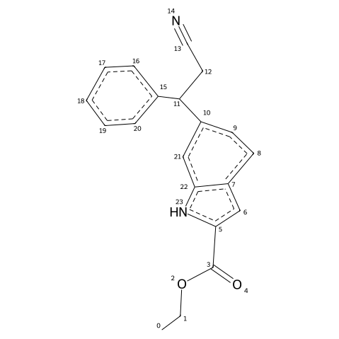 CCOC(=O)c1cc2ccc(C(CC#N)c3ccccc3)cc2[nH]1